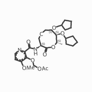 COc1ccnc(C(=O)N[C@H]2CCC[C@H](OC3CCCC3)[C@@H](OC3CCCC3)[C@H](C)OC2=O)c1OCOC(C)=O